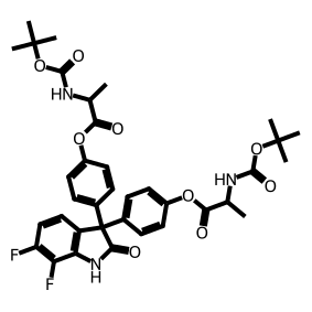 CC(NC(=O)OC(C)(C)C)C(=O)Oc1ccc(C2(c3ccc(OC(=O)C(C)NC(=O)OC(C)(C)C)cc3)C(=O)Nc3c2ccc(F)c3F)cc1